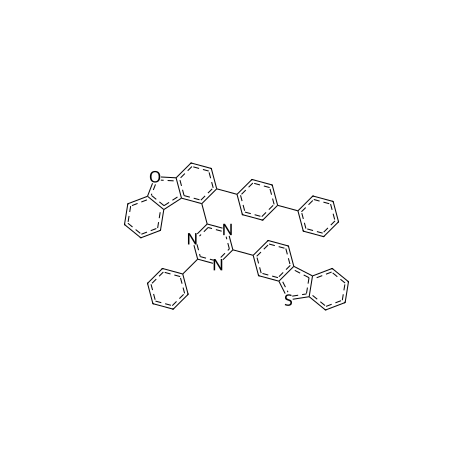 c1ccc(-c2ccc(-c3ccc4oc5ccccc5c4c3-c3nc(-c4ccccc4)nc(-c4ccc5c(c4)sc4ccccc45)n3)cc2)cc1